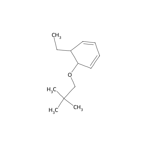 CCC1C=CC=CC1OCC(C)(C)C